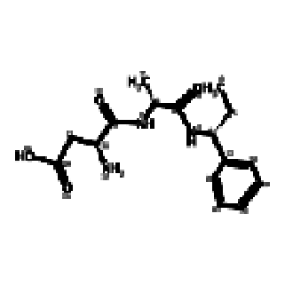 CC[C@@H](NC(=O)[C@@H](C)NC(=O)[C@@H](N)CC(=O)O)c1ccccc1